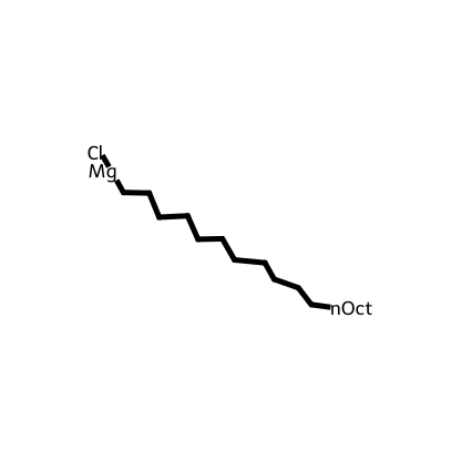 CCCCCCCCCCCCCCCCCC[CH2][Mg][Cl]